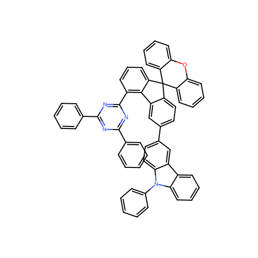 c1ccc(-c2nc(-c3ccccc3)nc(-c3cccc4c3-c3cc(-c5ccc6c(c5)c5ccccc5n6-c5ccccc5)ccc3C43c4ccccc4Oc4ccccc43)n2)cc1